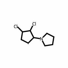 ClC1C[CH]C(N2CCCC2)C1Cl